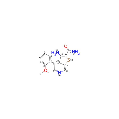 COc1ccccc1-c1cncc2sc(C(N)=O)c(N)c12